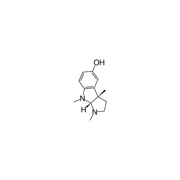 CN1CC[C@@]2(C)c3cc(O)ccc3N(C)[C@@H]12